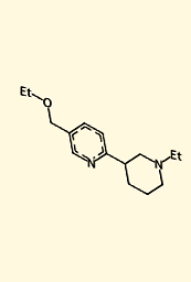 CCOCc1ccc(C2CCCN(CC)C2)nc1